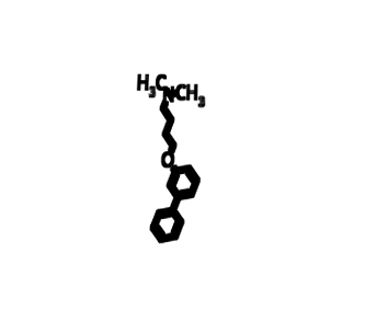 CN(C)CCCCOc1cccc(-c2ccccc2)c1